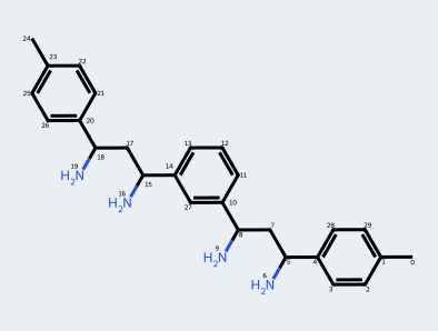 Cc1ccc(C(N)CC(N)c2cccc(C(N)CC(N)c3ccc(C)cc3)c2)cc1